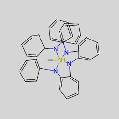 CN(c1ccccc1)[SH]1(C)(N(c2ccccc2)C2C=CC=CC2)N(c2ccccc2)c2ccccc2N1c1ccccc1